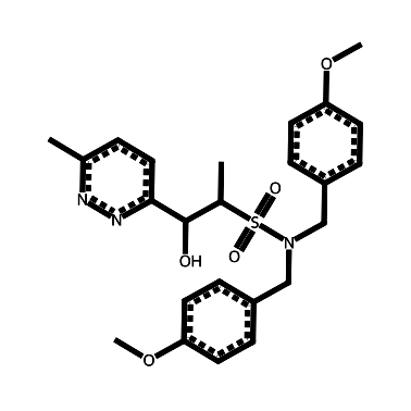 COc1ccc(CN(Cc2ccc(OC)cc2)S(=O)(=O)C(C)C(O)c2ccc(C)nn2)cc1